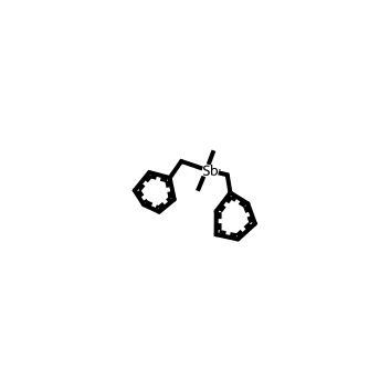 [CH3][Sb]([CH3])([CH2]c1ccccc1)[CH2]c1ccccc1